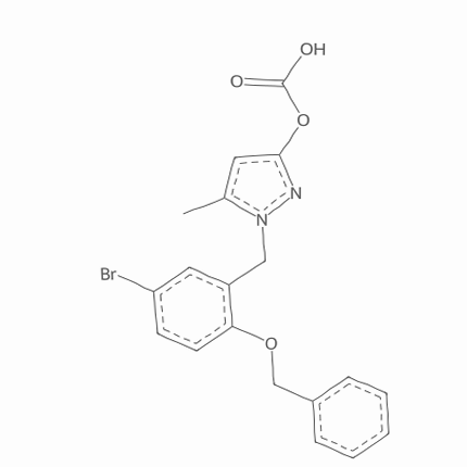 Cc1cc(OC(=O)O)nn1Cc1cc(Br)ccc1OCc1ccccc1